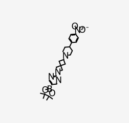 CC1(C)OB(c2cnc(N3CC4(CC(N5CCC(c6ccc([N+](=O)[O-])cc6)CC5)C4)C3)nc2)OC1(C)C